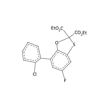 CCOC(=O)C1(C(=O)OCC)Oc2c(cc(F)cc2-c2ccccc2Cl)S1